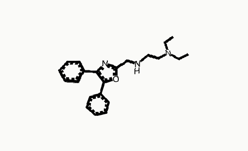 CCN(CC)CCNCc1nc(-c2ccccc2)c(-c2ccccc2)o1